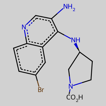 Nc1cnc2ccc(Br)cc2c1N[C@H]1CCN(C(=O)O)C1